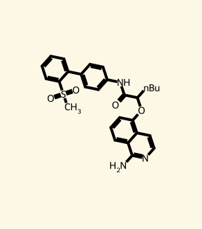 CCCCC(Oc1cccc2c(N)nccc12)C(=O)Nc1ccc(-c2ccccc2S(C)(=O)=O)cc1